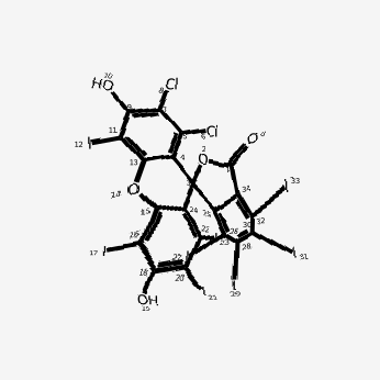 O=C1OC2(c3c(Cl)c(Cl)c(O)c(I)c3Oc3c(I)c(O)c(I)c(I)c32)c2c(I)c(I)c(I)c(I)c21